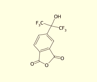 O=C1OC(=O)c2cc(C(O)(C(F)(F)F)C(F)(F)F)ccc21